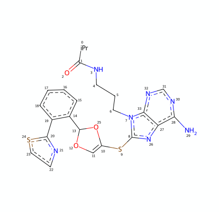 CC(C)C(=O)NCCCn1c(SC2=COC(c3ccccc3-c3nccs3)O2)nc2c(N)ncnc21